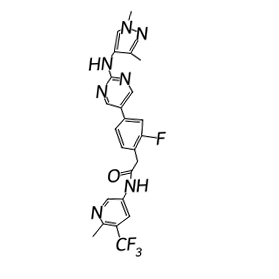 Cc1nn(C)cc1Nc1ncc(-c2ccc(CC(=O)Nc3cnc(C)c(C(F)(F)F)c3)c(F)c2)cn1